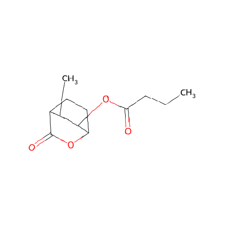 CCCC(=O)OC1C2CCC(C(=O)O2)C1C